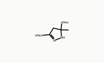 CCCCCCC1=NNC(C)(CCCCCC)C1